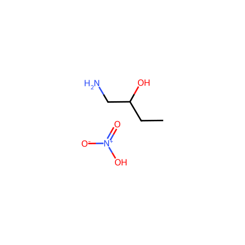 CCC(O)CN.O=[N+]([O-])O